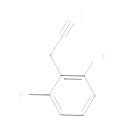 C#CCc1c(C)cccc1Br